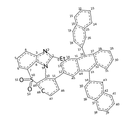 CCc1nc2cccc3c2n1-c1c(-c2ccc4c(-c5ccc6ccccc6c5)c5ccccc5c(-c5ccc6ccccc6c5)c4c2)cccc1S3(=O)=O